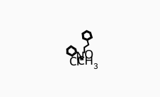 CN(C(=O)CCc1ccccc1)c1ccccc1Cl